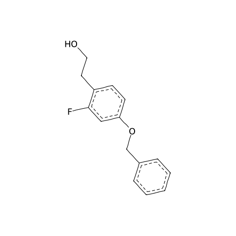 OCCc1ccc(OCc2ccccc2)cc1F